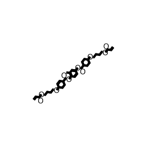 C=CC(=O)OCCCCOC1C=CC(C(=O)Oc2ccc(OC(=O)C3CCC(OCCCCOC(=O)C=C)CC3)cc2C)CC1